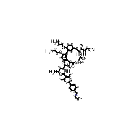 CCC/C=C/c1ccc(-c2nc(C)c(C(=O)N[C@@H](CCN)C(=O)N(C)[C@@H]3C(=O)N[C@@H](C)C(=O)N[C@H](C(=O)NCC#N)Cc4ccc(OCCN)c(c4)-c4cc3ccc4OCCN)c(C)n2)cc1